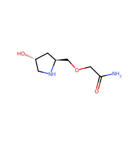 NC(=O)COC[C@@H]1C[C@@H](O)CN1